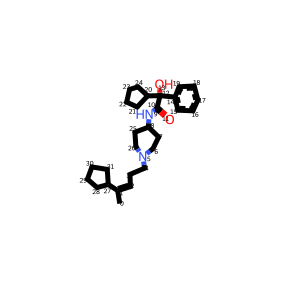 CC(=CCCN1CCC(NC(=O)C(O)(c2ccccc2)C2CCCC2)CC1)C1CCCC1